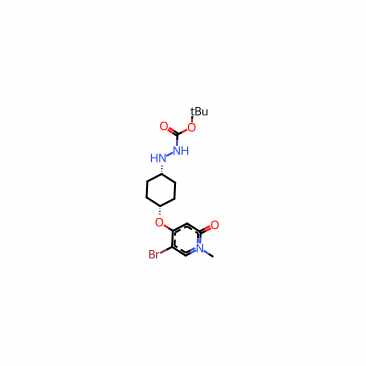 Cn1cc(Br)c(O[C@H]2CC[C@@H](NNC(=O)OC(C)(C)C)CC2)cc1=O